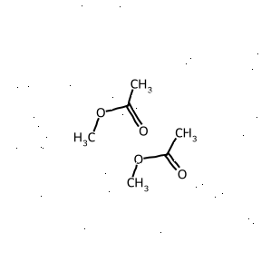 COC(C)=O.COC(C)=O